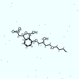 CCCCOCCC(O)COc1cccc2c1B(O)OC2C[N+](=O)[O-]